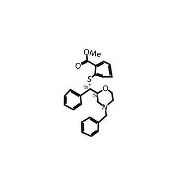 COC(=O)c1ccccc1S[C@@H](c1ccccc1)[C@@H]1CN(Cc2ccccc2)CCO1